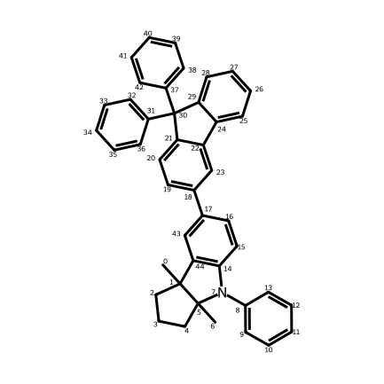 CC12CCCC1(C)N(c1ccccc1)c1ccc(-c3ccc4c(c3)-c3ccccc3C4(c3ccccc3)c3ccccc3)cc12